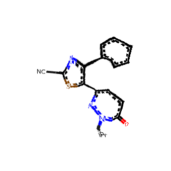 CC(C)n1nc(-c2sc(C#N)nc2-c2ccccc2)ccc1=O